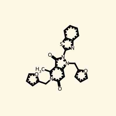 Cc1c2c(=O)n(-c3nc4ccccc4s3)n(Cc3ccco3)c2cc(=O)n1Cc1ccco1